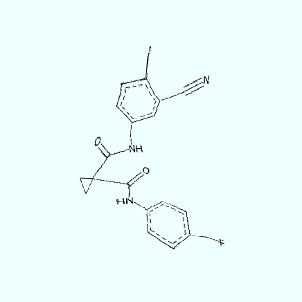 N#Cc1cc(NC(=O)C2(C(=O)Nc3ccc(F)cc3)CC2)ccc1I